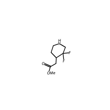 COC(=O)CC1CCNCC1(F)F